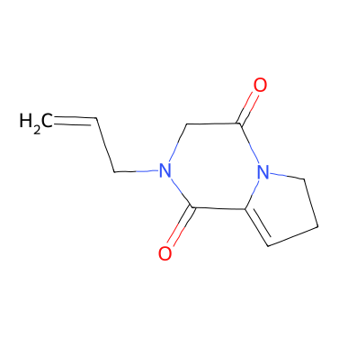 C=CCN1CC(=O)N2CCC=C2C1=O